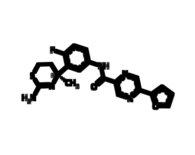 C[C@@]1(c2cc(NC(=O)c3cnc(-c4ccco4)cn3)ccc2F)CCSC(N)=N1